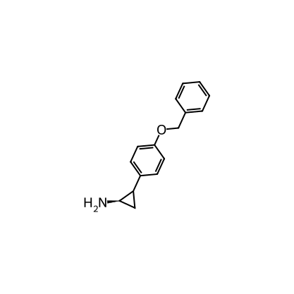 N[C@@H]1CC1c1ccc(OCc2ccccc2)cc1